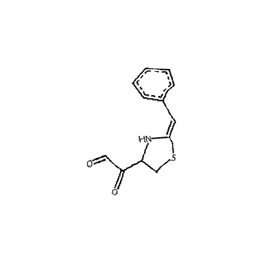 O=CC(=O)C1CSC(=Cc2ccccc2)N1